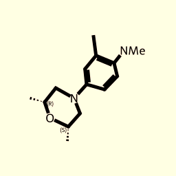 CNc1ccc(N2C[C@@H](C)O[C@@H](C)C2)cc1C